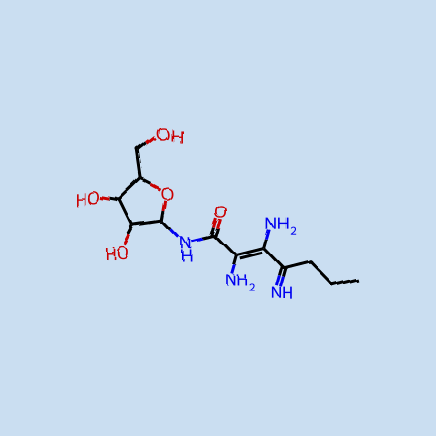 CCCC(=N)/C(N)=C(\N)C(=O)NC1OC(CO)C(O)C1O